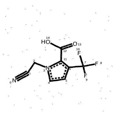 N#CCn1ccc(C(F)(F)F)c1C(=O)O